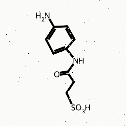 Nc1ccc(NC(=O)CCS(=O)(=O)O)cc1